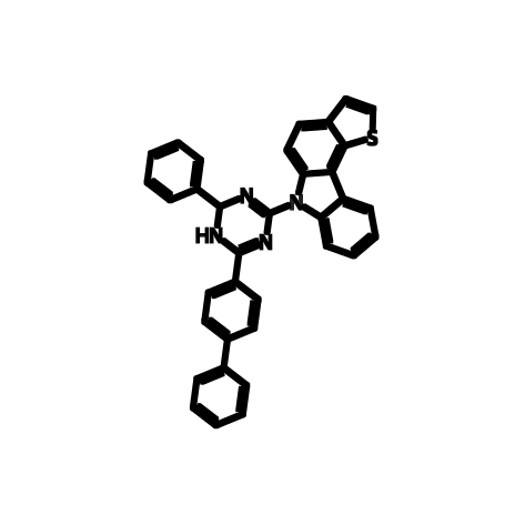 c1ccc(-c2ccc(C3=NC(n4c5ccccc5c5c6sccc6ccc54)=NC(c4ccccc4)N3)cc2)cc1